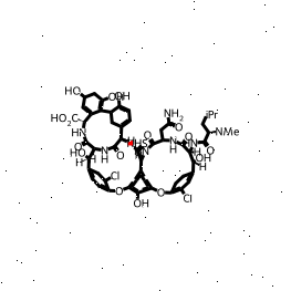 CN[C@H](CC(C)C)C(=O)N[C@H]1C(=O)NC(CC(N)=O)C(=O)N[C@H]2C(=S)N[C@H]3C(=O)N[C@H](C(=O)N[C@H](C(=O)O)C4=CC(O)CC(O)=C4C4CC3=CC=C4O)[C@H](O)C3=CC=C(Oc4cc2cc(c4O)OC2=C(Cl)C=C(CC2)[C@H]1O)C(Cl)C3